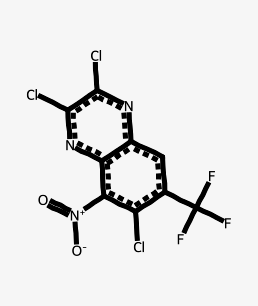 O=[N+]([O-])c1c(Cl)c(C(F)(F)F)cc2nc(Cl)c(Cl)nc12